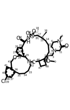 CO[C@@]1(CN2CCN(C)C(=O)C2)CCC[C@H](C)[C@@H](C)S(=O)(=O)NC(=O)c2ccc3c(c2)N(CCCCc2cc(Cl)ccc2CO3)CC2CC[C@H]21